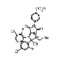 CC(C)(C)C[C@@H]1N2C(=O)N(c3ccc(C(=O)O)cc3)C(=O)C2=C(c2cccc(Cl)c2F)[C@@]1(C#N)c1ccc(Cl)cc1F